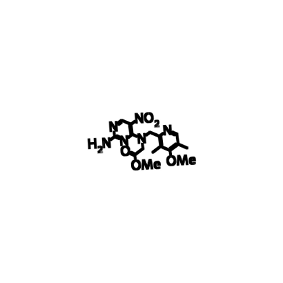 COC(=O)CN(Cc1ncc(C)c(OC)c1C)c1nc(N)ncc1[N+](=O)[O-]